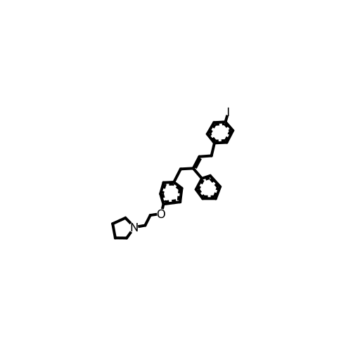 Ic1ccc(CC=C(Cc2ccc(OCCN3CCCC3)cc2)c2ccccc2)cc1